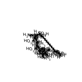 CC[C@H](C)C(NO)C(=O)NC(C(=O)C(=O)CCCCCCCCCCCCCCCC(=O)NC(CCC(=O)N[C@@H](CCCCN)C(=O)N[C@@H](CCC(=O)O)C(=O)CN[C@@H](C)C(=O)CN[C@@H](CCC(=O)O)C(=O)N[C@@H](CC(N)=O)C(=O)C(=O)C(NN[C@H](C(=O)N[C@H](C(=O)NCC(=O)SCCC(=O)OC)[C@@H](C)O)[C@@H](C)O)[C@@H](C)CC)C(=O)O)[C@@H](C)CC